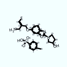 Cc1ccc(S(=O)(=O)O)cc1.NC/C(=C/F)COc1ccc2nc(N3CCC(O)C3)oc2c1